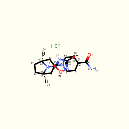 Cl.NC(=O)C1CCN(C2C[C@H]3CC[C@@H](C2)N3c2nc(C(F)(F)F)no2)CC1